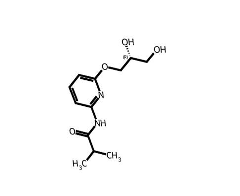 CC(C)C(=O)Nc1cccc(OC[C@H](O)CO)n1